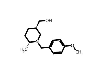 COc1ccc(CN2C[C@H](CO)CC[C@H]2C)cc1